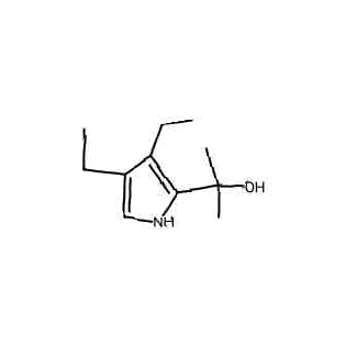 CCc1c[nH]c(C(C)(C)O)c1CC